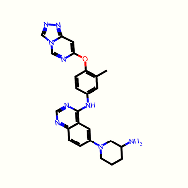 Cc1cc(Nc2ncnc3ccc(N4CCCC(N)C4)cc23)ccc1Oc1cc2nncn2cn1